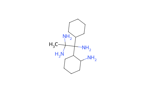 CC(N)(N)C(N)(C1CCCCC1)C1CCCCC1N